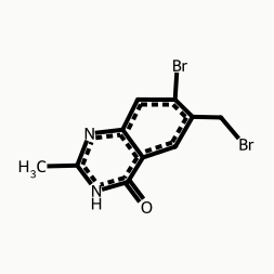 Cc1nc2cc(Br)c(CBr)cc2c(=O)[nH]1